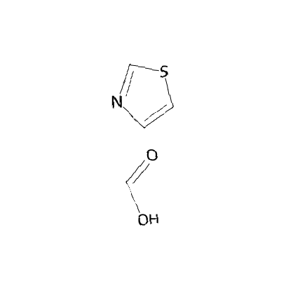 O=CO.c1cscn1